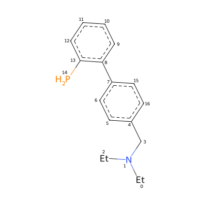 CCN(CC)Cc1ccc(-c2ccccc2P)cc1